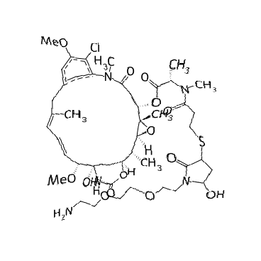 COc1cc2cc(c1Cl)N(C)C(=O)C[C@H](OC(=O)[C@H](C)N(C)C(=O)CCSC1CC(O)N(CCOCCOCCN)C1=O)[C@]1(C)O[C@H]1[C@H](C)[C@@H]1C[C@@](O)(NC(=O)O1)[C@H](OC)/C=C/C=C(\C)C2